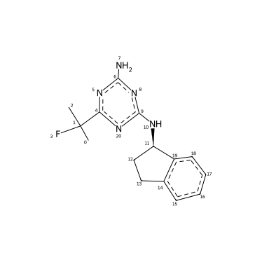 CC(C)(F)c1nc(N)nc(N[C@@H]2CCc3ccccc32)n1